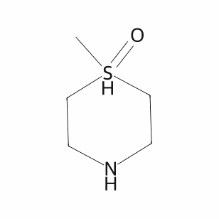 C[SH]1(=O)CCNCC1